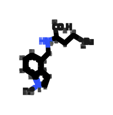 CCn1ccc2c(CNC(CCC(C)(C)C)C(=O)O)cccc21